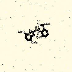 COC(=O)c1cccc(OC)c1S(=O)(=O)Nc1nc2c(OC)ccc(OC)n2n1